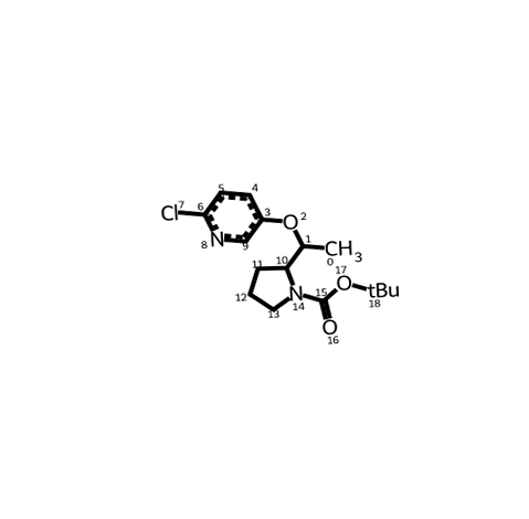 CC(Oc1ccc(Cl)nc1)C1CCCN1C(=O)OC(C)(C)C